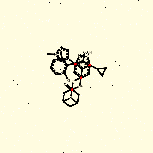 Cn1cc(-c2cc(NC(=O)N3C4CC(OCc5c(-c6c(Cl)cccc6Cl)noc5C5CC5)CC3C4)ccc2C(=O)O)cn1